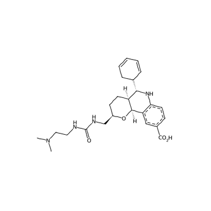 CN(C)CCNC(=O)NC[C@H]1CC[C@@H]2[C@H](O1)c1cc(C(=O)O)ccc1N[C@H]2C1C=CC=CC1